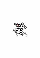 Cc1cc2c3c(c1)N(c1ccc(C(C)(C)C)cc1-c1ccccc1)c1c(sc4cc5c(cc14)C(C)(C)CCC5(C)C)B3n1c3ccccc3c3cccc-2c31